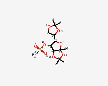 CC1(C)OCC([C@H]2O[C@@H]3OC(C)(C)OC3[C@@H]2OS(=O)(=O)C(F)(F)F)O1